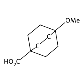 COC12CCC(C(=O)O)(CC1)CC2